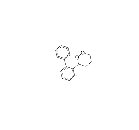 [c]1cccc(-c2ccccc2)c1C1CCCOO1